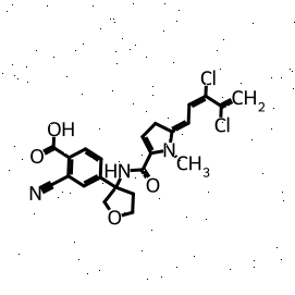 C=C(Cl)/C(Cl)=C\C=C1/CC=C(C(=O)NC2(c3ccc(C(=O)O)c(C#N)c3)CCOC2)N1C